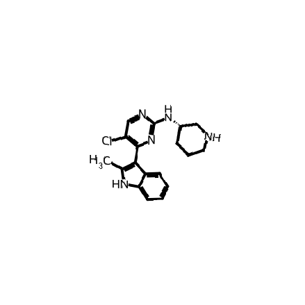 Cc1[nH]c2ccccc2c1-c1nc(N[C@H]2CCCNC2)ncc1Cl